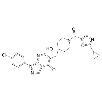 O=C(c1cnc(C2CC2)o1)N1CCC(O)(Cn2cnc3c(cnn3-c3ccc(Cl)cc3)c2=O)CC1